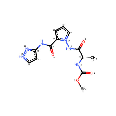 C[C@H](NC(=O)OC(C)(C)C)C(=O)Nn1cccc1C(=O)Nc1cc[nH]n1